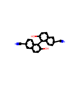 N#Cc1ccc2c(-c3c(O)ccc4cc(C#N)ccc34)c(O)ccc2c1